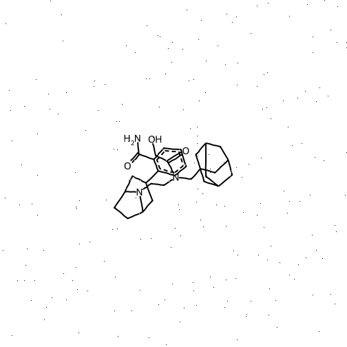 NC(=O)c1ccccc1C1CC2CCC(C1)N2CCN(CC12CC3CC(CC(C3)C1)C2)C(=O)CO